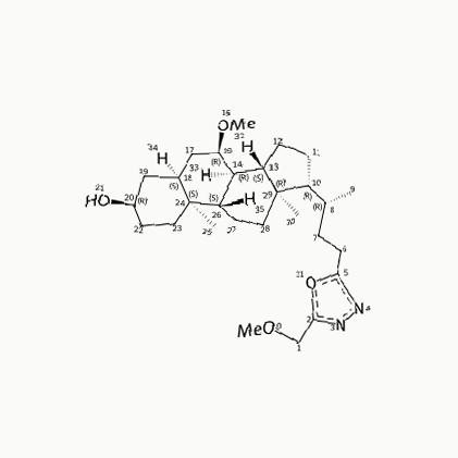 COCc1nnc(CC[C@@H](C)[C@H]2CC[C@H]3[C@@H]4[C@H](OC)C[C@@H]5C[C@H](O)CC[C@]5(C)[C@H]4CC[C@]23C)o1